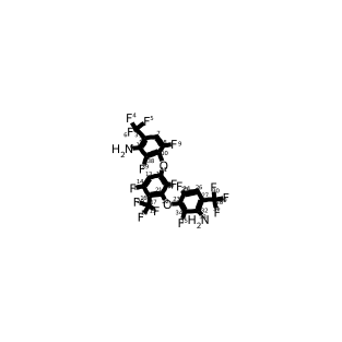 Nc1c(C(F)(F)F)cc(F)c(Oc2cc(F)c(C(F)(F)F)c(Oc3c(F)cc(C(F)(F)F)c(N)c3F)c2F)c1F